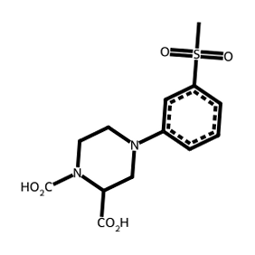 CS(=O)(=O)c1cccc(N2CCN(C(=O)O)C(C(=O)O)C2)c1